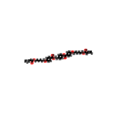 C=CC(=O)OCCCCCCOc1ccc(C(=O)OCCc2ccc(OC(=O)c3ccc(OCCCCCCOC(=O)C=C)cc3)cc2)cc1